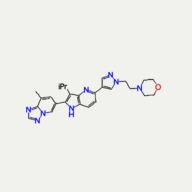 Cc1cc(-c2[nH]c3ccc(-c4cnn(CCN5CCOCC5)c4)nc3c2C(C)C)cn2ncnc12